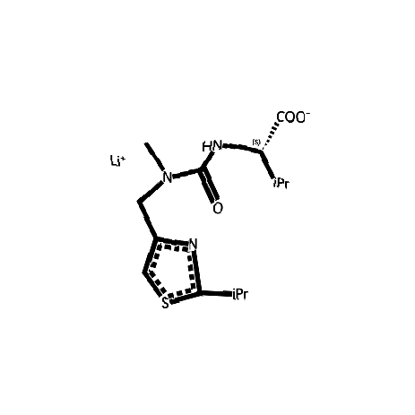 CC(C)c1nc(CN(C)C(=O)N[C@H](C(=O)[O-])C(C)C)cs1.[Li+]